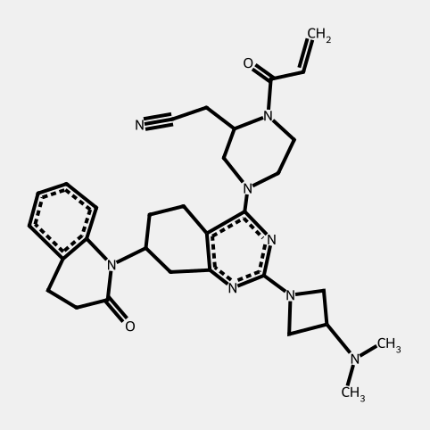 C=CC(=O)N1CCN(c2nc(N3CC(N(C)C)C3)nc3c2CCC(N2C(=O)CCc4ccccc42)C3)CC1CC#N